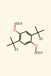 CCCCCCCCOc1cc(C(C)(C)CC)c(OCCCCCCCC)cc1C(C)(C)CC